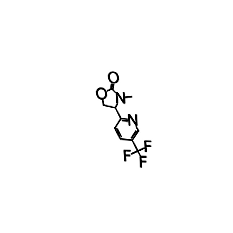 CN1C(=O)OCC1c1ccc(C(F)(F)F)cn1